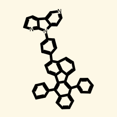 c1ccc(-c2c3c(c(-c4ccccc4)c4ccccc24)-c2ccc(-c4ccc(-n5c6ccncc6c6cccnc65)cc4)c4cccc-3c24)cc1